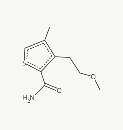 COCCc1c(C)csc1C(N)=O